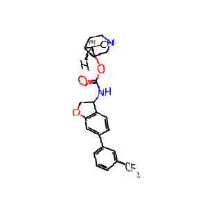 O=C(NC1COc2cc(-c3cccc(C(F)(F)F)c3)ccc21)O[C@H]1CN2CCC1CC2